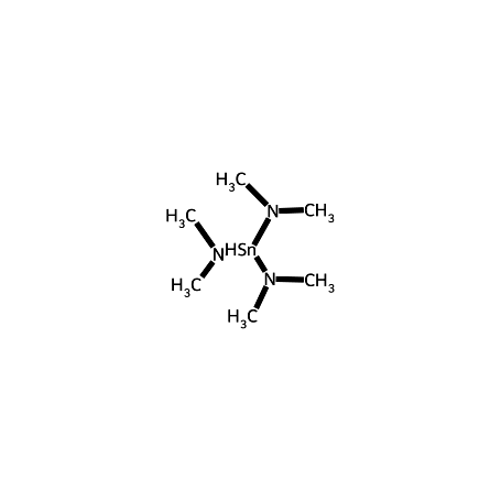 C[N](C)[SnH]([N](C)C)[N](C)C